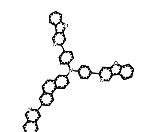 c1ccc2cc(-c3ccc4c(ccc5cc(N(c6ccc(-c7cc8oc9ccccc9c8cn7)cc6)c6ccc(-c7cc8oc9ccccc9c8cn7)cc6)ccc54)c3)ncc2c1